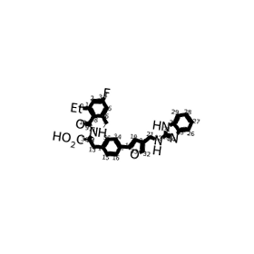 CCc1cc(F)cc(C)c1C(=O)N[C@@H](Cc1ccc(-c2cc(CNc3nc4ccccc4[nH]3)co2)cc1)C(=O)O